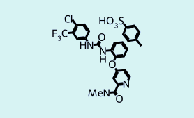 CNC(=O)c1cc(Oc2ccccc2NC(=O)Nc2ccc(Cl)c(C(F)(F)F)c2)ccn1.Cc1ccc(S(=O)(=O)O)cc1